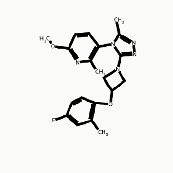 COc1ccc(-n2c(C)nnc2N2CC(Oc3ccc(F)cc3C)C2)c(C)n1